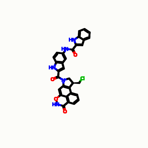 O=C(Nc1ccc2[nH]c(C(=O)N3C[C@@H](CCl)c4c3cc3c5c(cccc45)C(=O)NO3)cc2c1)c1cc2ccccc2[nH]1